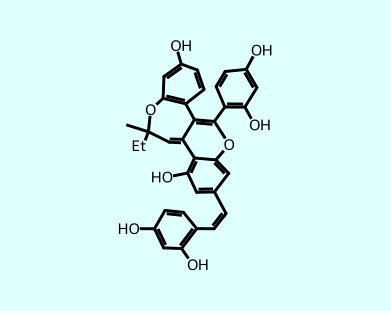 CCC1(C)C=C2C(=C(c3ccc(O)cc3O)Oc3cc(/C=C\c4ccc(O)cc4O)cc(O)c32)c2ccc(O)cc2O1